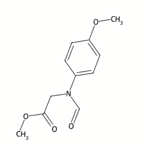 COC(=O)CN(C=O)c1ccc(OC)cc1